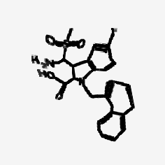 CS(=O)(=O)C(N)C1c2cc(F)ccc2N(Cc2cccc3ccccc23)C1C(=O)O